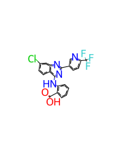 O=C(O)c1ccccc1Nc1nc(-c2ccc(C(F)(F)F)nc2)nc2cc(Cl)ccc12